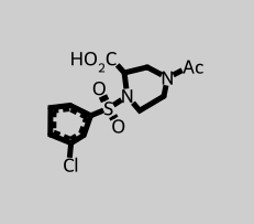 CC(=O)N1CCN(S(=O)(=O)c2cccc(Cl)c2)C(C(=O)O)C1